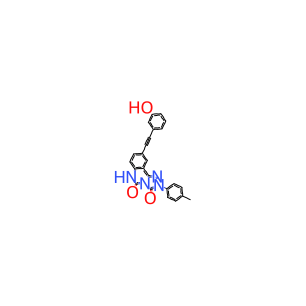 Cc1ccc(-n2nc3c4cc(C#Cc5cccc(O)c5)ccc4[nH]c(=O)n3c2=O)cc1